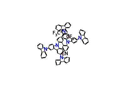 N#Cc1ccc(-n2c3ccc(-n4c5ccccc5c5ccccc54)cc3c3cc(-n4c5ccccc5c5ccccc54)ccc32)c(-c2cc(-c3c(C(F)(F)F)cccc3C(F)(F)F)ccc2-n2c3ccc(-n4c5ccccc5c5ccccc54)cc3c3cc(-n4c5ccccc5c5ccccc54)ccc32)c1